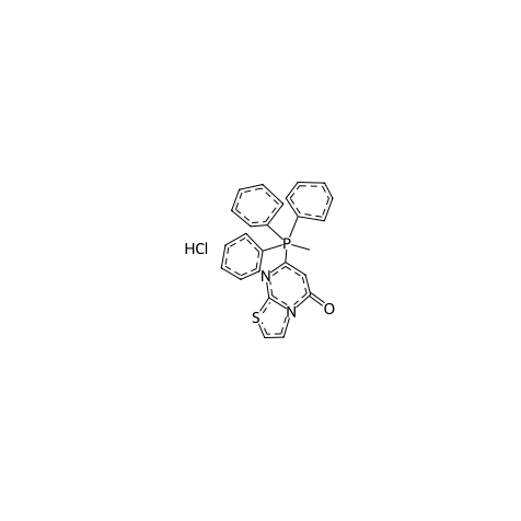 CP(c1ccccc1)(c1ccccc1)(c1ccccc1)c1cc(=O)n2ccsc2n1.Cl